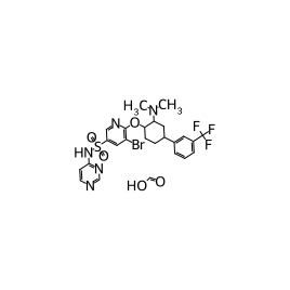 CN(C)C1CC(c2cccc(C(F)(F)F)c2)CCC1Oc1ncc(S(=O)(=O)Nc2ccncn2)cc1Br.O=CO